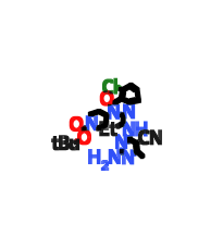 CCC(Nc1nc(N)nc(C)c1C#N)c1nc2cccc(Cl)c2c(=O)n1C1CCN(C(=O)OC(C)(C)C)CC1